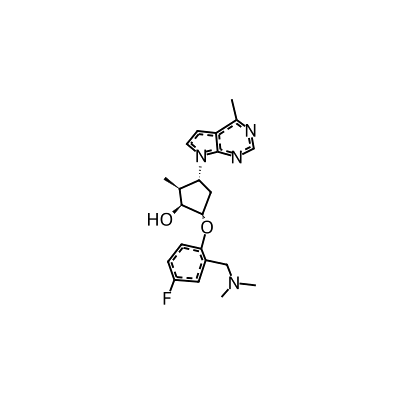 Cc1ncnc2c1ccn2[C@@H]1C[C@H](Oc2ccc(F)cc2CN(C)C)[C@@H](O)[C@H]1C